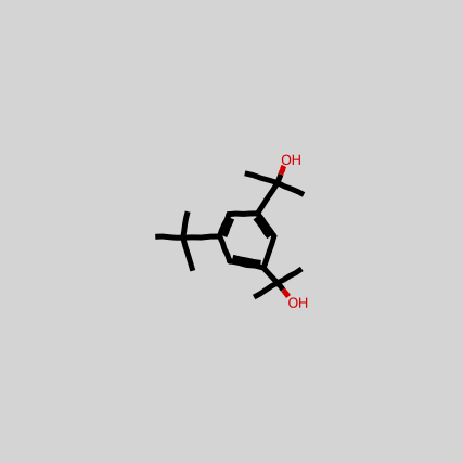 CC(C)(C)c1cc(C(C)(C)O)cc(C(C)(C)O)c1